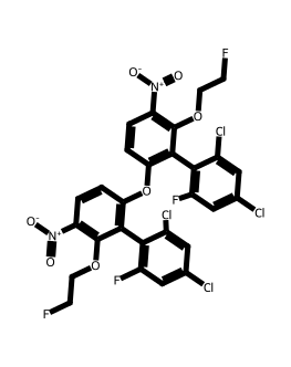 O=[N+]([O-])c1ccc(Oc2ccc([N+](=O)[O-])c(OCCF)c2-c2c(F)cc(Cl)cc2Cl)c(-c2c(F)cc(Cl)cc2Cl)c1OCCF